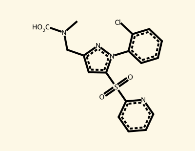 CN(Cc1cc(S(=O)(=O)c2ccccn2)n(-c2ccccc2Cl)n1)C(=O)O